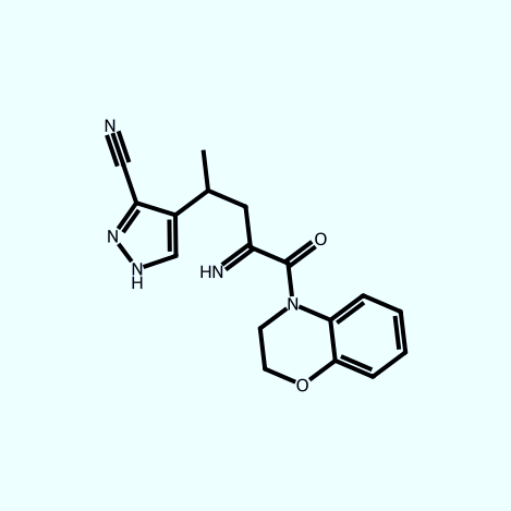 CC(CC(=N)C(=O)N1CCOc2ccccc21)c1c[nH]nc1C#N